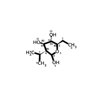 CC[C@H]1OC(O)[C@H](C(C)C)[C@@H](O)[C@@H]1O